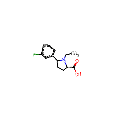 CCN1C(c2cccc(F)c2)CC[C@@H]1C(=O)O